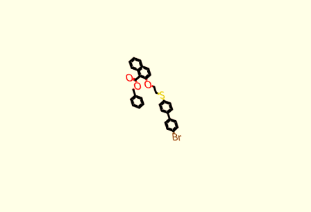 O=C(OCc1ccccc1)c1c(OCCSc2ccc(-c3ccc(Br)cc3)cc2)ccc2ccccc12